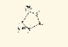 C.C1SSSS1.[NaH]